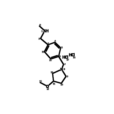 CNCc1ccc(CN2CCC(OC)C2)cc1.Cl.Cl